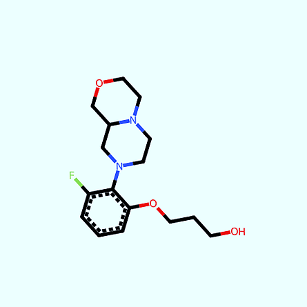 OCCCOc1cccc(F)c1N1CCN2CCOCC2C1